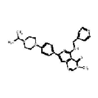 CC(C)N1CCN(c2ccc(-c3cc4ncn(C)c(=O)c4c(NCc4ccncc4)n3)cc2)CC1